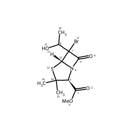 COC(=O)[C@@H]1N2C(=O)C(Br)(C(C)O)[C@H]2SC1(C)C